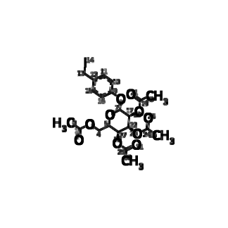 CC(=O)OCC1OC(Oc2ccc(CI)cc2)[C@@H](OC(C)=O)[C@@H](OC(C)=O)[C@H]1OC(C)=O